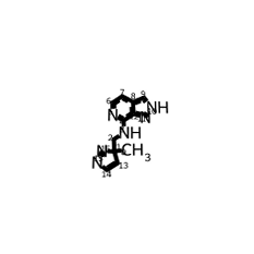 CC1(CNc2nccc3c[nH]nc23)C=CN=N1